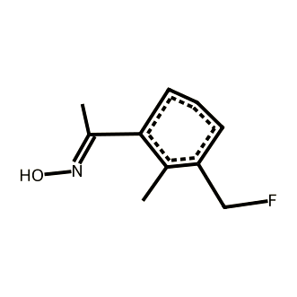 CC(=NO)c1cccc(CF)c1C